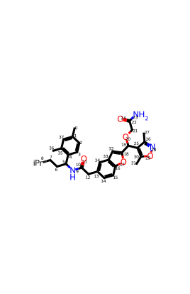 Cc1ccc(C(CCC(C)C)NC(=O)Cc2ccc3oc(C(OCC(N)=O)c4c(C)noc4C)cc3c2)c(C)c1